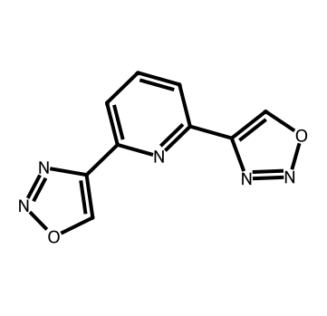 c1cc(-c2conn2)nc(-c2conn2)c1